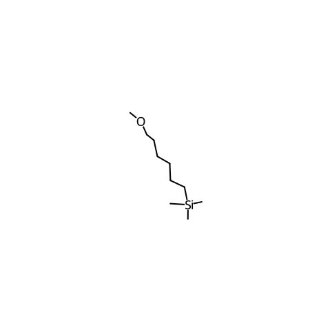 COCCCCCC[Si](C)(C)C